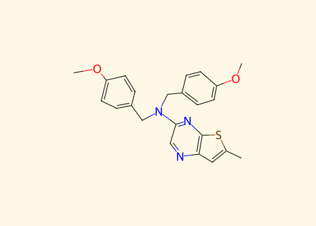 COc1ccc(CN(Cc2ccc(OC)cc2)c2cnc3cc(C)sc3n2)cc1